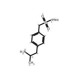 CCCCCCS(=O)(=O)Cc1ccc(CC(C)N)cc1